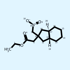 CCOC(=O)CC1(C[N+](=O)[O-])C[C@H]2CCCC[C@@H]2C1